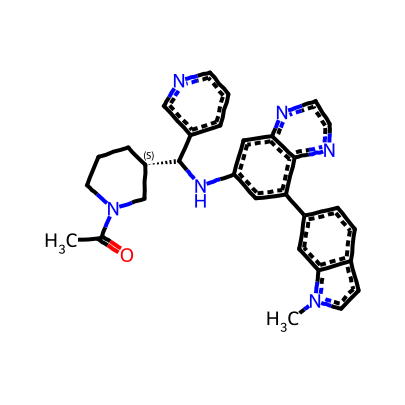 CC(=O)N1CCC[C@H](C(Nc2cc(-c3ccc4ccn(C)c4c3)c3nccnc3c2)c2cccnc2)C1